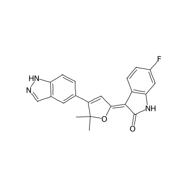 CC1(C)OC(=C2C(=O)Nc3cc(F)ccc32)C=C1c1ccc2[nH]ncc2c1